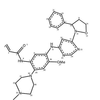 C=CC(=O)Nc1cc(Nc2cc(N3OCCC3c3ccccc3)ncn2)c(OC)cc1N1CCN(C)CC1